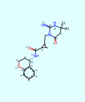 CCC1(CC)CC(=O)N(CC2CC2C(=O)N[C@H]2CCOc3ccccc32)C(=N)N1